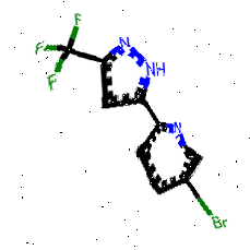 FC(F)(F)c1cc(-c2ccc(Br)cn2)[nH]n1